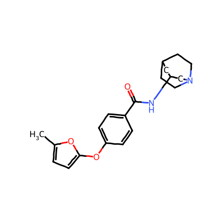 Cc1ccc(Oc2ccc(C(=O)NC3CC4CCN(CC4)C3)cc2)o1